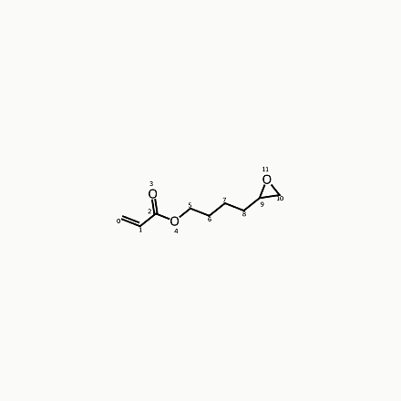 C=CC(=O)OCCCCC1CO1